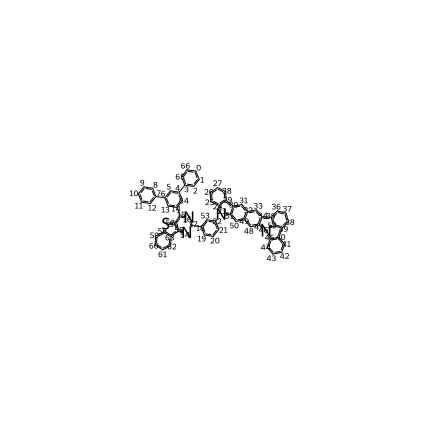 c1ccc(-c2cc(-c3ccccc3)cc(-c3nc(-c4cccc(-n5c6ccccc6c6cc7cc8c9cccc%10c%11ccccc%11n(c8cc7cc65)c%109)c4)nc4c3sc3ccccc34)c2)cc1